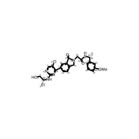 CC[C@H](CO)Nc1ncc(Cl)c(-c2ccc3c(c2)C(=O)N(CC(=O)N[C@H](C)c2cccc(OC)c2)C3)n1